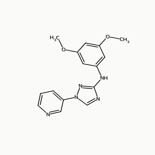 COc1cc(Nc2ncn(-c3cccnc3)n2)cc(OC)c1